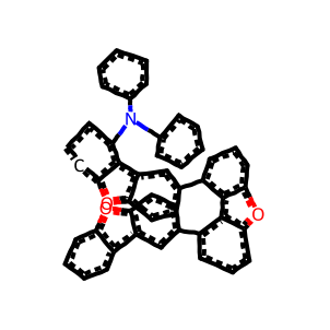 c1ccc(N(c2ccccc2)c2cccc3oc4ccc(-c5cccc6oc7cccc(-c8ccc9oc%10ccccc%10c9c8)c7c56)cc4c23)cc1